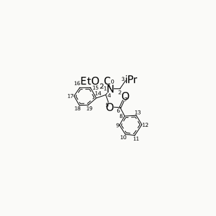 CCOC(=O)N(CC(C)C)C(OC(=O)c1ccccc1)c1ccccc1